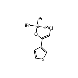 CC(C)[Si](OC(=CCl)c1ccsc1)(C(C)C)C(C)C